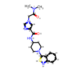 CN(C)C(=O)Cn1cnc(C(=O)NC2CCN(c3snc4ccccc34)CC2)c1